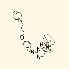 O[C@]12CC3CC(C1)[C@@H](Nc1nc(Nc4ccc(OCCCN5CCOCC5)cc4)ncc1Br)C(C3)C2